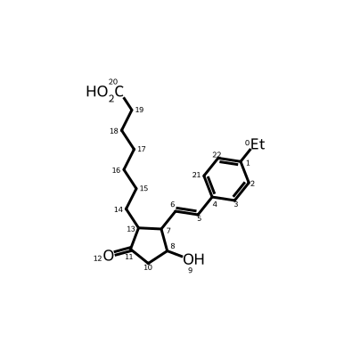 CCc1ccc(C=CC2C(O)CC(=O)C2CCCCCCC(=O)O)cc1